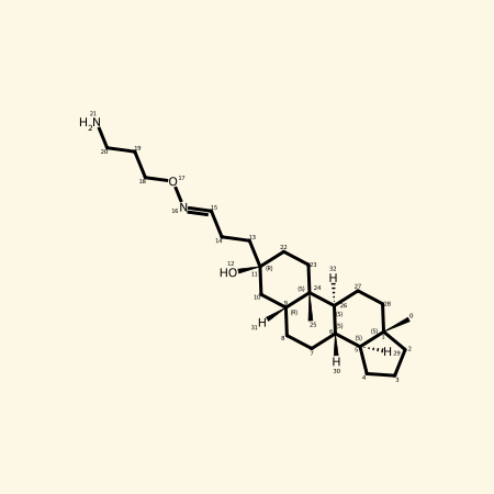 C[C@@]12CCC[C@H]1[C@@H]1CC[C@@H]3C[C@](O)(CCC=NOCCCN)CC[C@]3(C)[C@H]1CC2